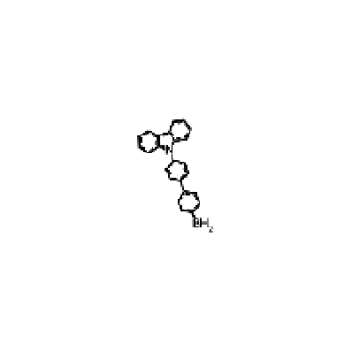 Bc1ccc(-c2ccc(-n3c4ccccc4c4ccccc43)cc2)cc1